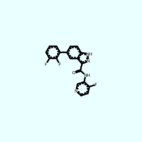 O=C(Nc1cnccc1F)c1n[nH]c2ccc(-c3cccc(F)c3F)cc12